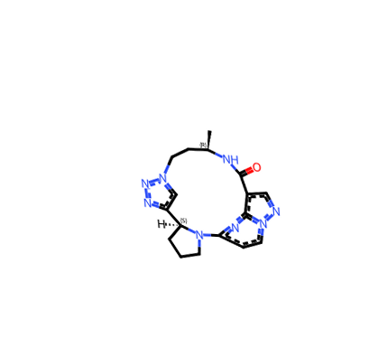 C[C@@H]1CCn2cc(nn2)[C@@H]2CCCN2c2ccn3ncc(c3n2)C(=O)N1